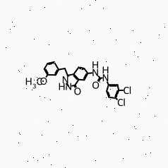 COc1cccc(Cc2n[nH]c(=O)c3cc(NC(=O)Nc4ccc(Cl)c(Cl)c4)ccc23)c1